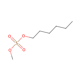 CCCCCCOS(=O)(=O)OC